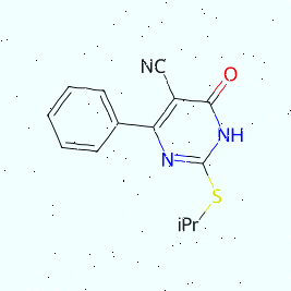 CC(C)Sc1nc(-c2ccccc2)c(C#N)c(=O)[nH]1